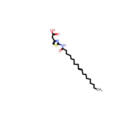 CCCCCCCCC=CCCCCCCCC(=O)Nc1nc(CC(=O)O)cs1